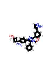 C[C@]1(O)C[C@@](N)(c2ccc(-c3nc4n(c3-c3ccccc3)COc3ccc(-c5ccn[nH]5)cc3-4)cc2)C1